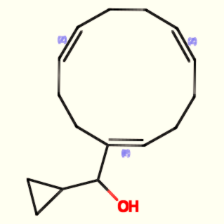 OC(/C1=C/CC/C=C\CC/C=C\CC1)C1CC1